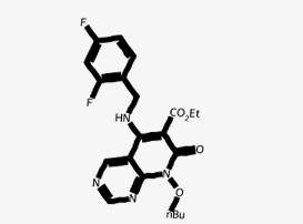 CCCCOn1c(=O)c(C(=O)OCC)c(NCc2ccc(F)cc2F)c2cncnc21